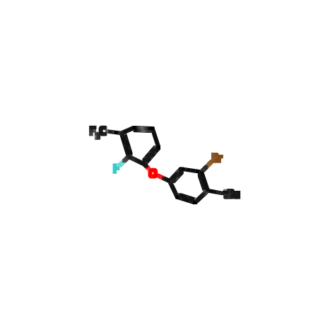 CC(C)(C)c1ccc(Oc2cccc(C(F)(F)F)c2F)cc1Br